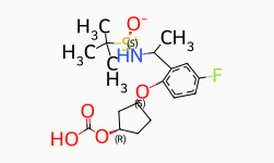 CC(N[S@+]([O-])C(C)(C)C)c1cc(F)ccc1O[C@H]1CC[C@@H](OC(=O)O)C1